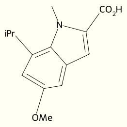 COc1cc(C(C)C)c2c(c1)cc(C(=O)O)n2C